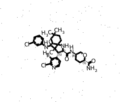 CC1(C)CCC2(CC1)N[C@@H](C(=O)N[C@@H]1CC[C@@H](C(N)=O)OC1)[C@H](c1ccnc(Cl)c1F)[C@]2(C)C(=O)Nc1cccc(Cl)c1